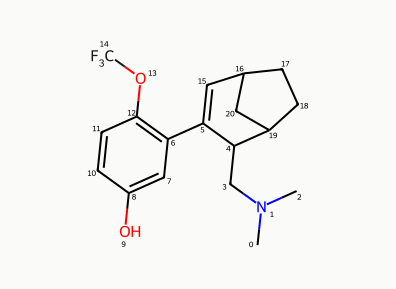 CN(C)CC1C(c2cc(O)ccc2OC(F)(F)F)=CC2CCC1C2